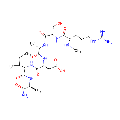 CC[C@H](C)[C@H](NC(=O)[C@H](CC(=O)O)NC(=O)[C@H](C)NC(=O)[C@H](CO)NC(=O)[C@H](CCCNC(=N)N)NC)C(=O)N[C@@H](C)C(N)=O